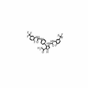 NC(=O)c1[nH]cc(NC(=O)Nc2cc(C(F)(F)F)ccc2F)c1-c1ccc(NC(=O)Nc2cc(C(F)(F)F)ccc2F)cc1